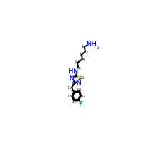 NCCCCCCNc1nc(Cc2ccc(F)cc2)ns1